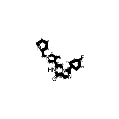 CC1CN(Cc2ccccn2)CC1c1cn2c(-c3ccc(F)cc3)ncc2c(=O)[nH]1